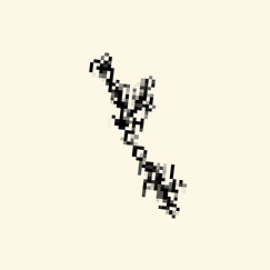 CC(C)[C@H](NC(=O)OC1CCCC1)C(=O)N1CCC[C@H]1c1nc(-c2ccc(-c3ccc(-c4cnc([C@@H]5C[C@@H](OC(=O)N6Cc7cc8c(cc7C6)OCO8)CN5C(=O)[C@@H](NC(=O)OC5CCCC5)C(C)C)[nH]4)cc3)cc2)c[nH]1